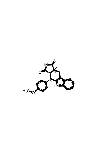 COc1ccc([C@H]2c3[nH]c4ccccc4c3C[C@H]3C(=O)NC(=O)N23)cc1